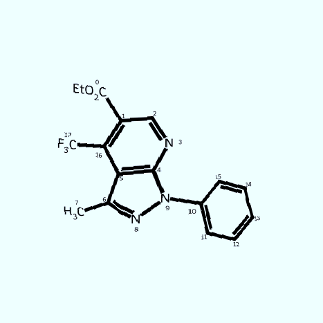 CCOC(=O)c1cnc2c(c(C)nn2-c2ccccc2)c1C(F)(F)F